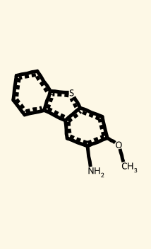 COc1cc2sc3ccccc3c2cc1N